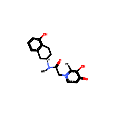 CCCN(C(=O)Cn1ccc(=O)c(O)c1CC)[C@H]1CCc2c(O)cccc2C1